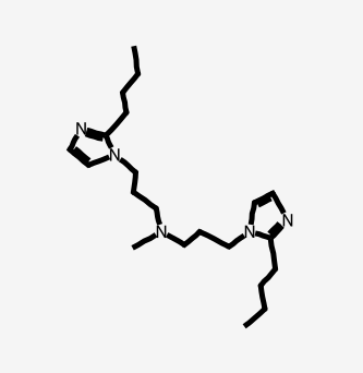 CCCCc1nccn1CCCN(C)CCCn1ccnc1CCCC